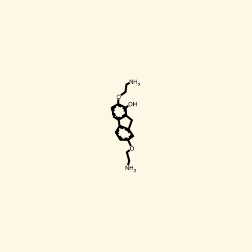 NCCOc1ccc2c(c1)Cc1c-2ccc(OCCN)c1O